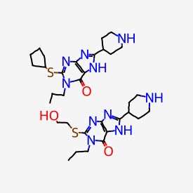 CCCn1c(SC2CCCC2)nc2nc(C3CCNCC3)[nH]c2c1=O.CCCn1c(SCCO)nc2nc(C3CCNCC3)[nH]c2c1=O